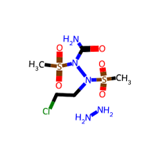 CS(=O)(=O)N(CCCl)N(C(N)=O)S(C)(=O)=O.NN